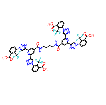 O=C(NCCCCNC(=O)c1cc(-c2cn(-c3cccc(C(=O)O)c3C(F)(F)F)nn2)nc(-c2cn(-c3cccc(C(=O)O)c3C(F)(F)F)nn2)c1)c1cc(-c2cn(-c3cccc(C(=O)O)c3C(F)(F)F)nn2)nc(-c2cn(-c3cccc(C(=O)O)c3C(F)(F)F)nn2)c1